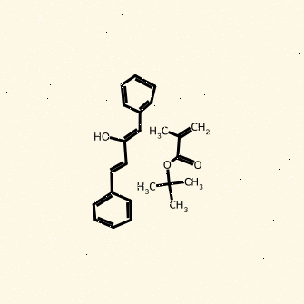 C=C(C)C(=O)OC(C)(C)C.OC(C=Cc1ccccc1)=Cc1ccccc1